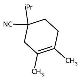 CC1=C(C)CC(C#N)(C(C)C)CC1